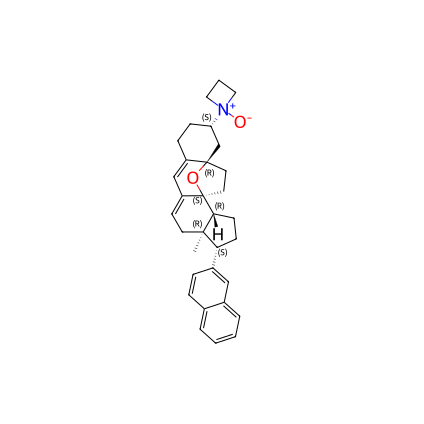 C[C@]12CC=C3C=C4CC[C@H]([N+]5([O-])CCC5)C[C@]45CC[C@]3(O5)[C@@H]1CC[C@@H]2c1ccc2ccccc2c1